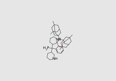 CC12CC3CC(C)(C1)CC(P(Cc1ccccc1C(P)(C1CCCNC1)C1CCCNC1)C14CC5CC(C)(CC(C)(C5)C1)C4)(C3)C2